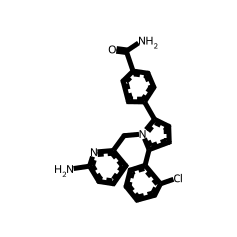 NC(=O)c1ccc(-c2ccc(-c3ccccc3Cl)n2Cc2cccc(N)n2)cc1